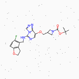 CC(C)(C)OC(=O)N1CC(COc2cnc(NCc3c(F)ccc4c3CCO4)n3cnnc23)C1